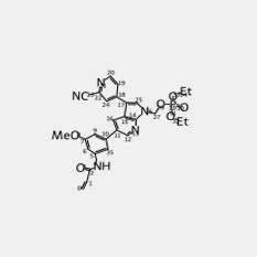 C=CC(=O)Nc1cc(OC)cc(-c2cnc3c(c2)c(-c2ccnc(C#N)c2)cn3COP(=O)(OCC)OCC)c1